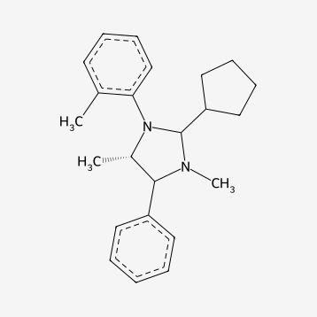 Cc1ccccc1N1C(C2CCCC2)N(C)C(c2ccccc2)[C@@H]1C